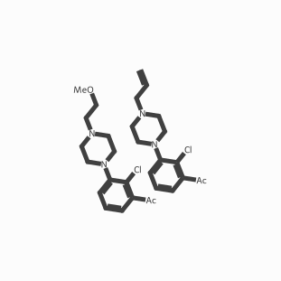 C=CCN1CCN(c2cccc(C(C)=O)c2Cl)CC1.COCCN1CCN(c2cccc(C(C)=O)c2Cl)CC1